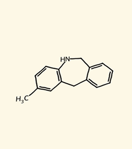 Cc1ccc2c(c1)Cc1ccccc1CN2